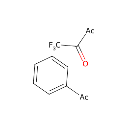 CC(=O)C(=O)C(F)(F)F.CC(=O)c1ccccc1